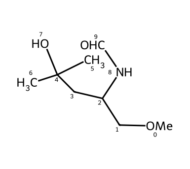 COCC(CC(C)(C)O)NC=O